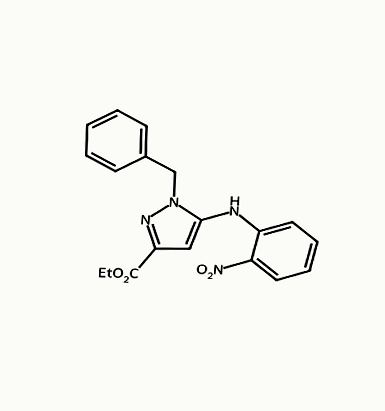 CCOC(=O)c1cc(Nc2ccccc2[N+](=O)[O-])n(Cc2ccccc2)n1